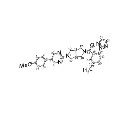 COc1ccc(-c2cnc(N3CC4CN(C(=O)c5cc(C)ccc5-n5nccn5)CC4C3)nc2)cc1